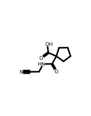 N#CCNC(=O)C1(C(=O)O)CCCC1